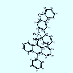 CC1(Nc2c3ccccc3c(-c3ccccc3)c3ccccc23)C=CC=CC1c1ccc2oc3ccccc3c2c1